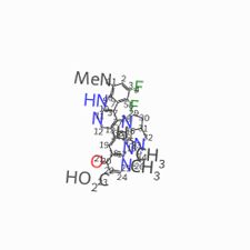 CNc1cc(F)c(F)c2c1[nH]c1ncc(-c3cnc4c(c3)c(=O)c(C(=O)O)cn4C)c(N3CCC4CN(C)C[C@H]43)c12